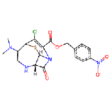 CN(C)C1CN[C@H]2C(=O)N3C(C(=O)OCc4ccc([N+](=O)[O-])cc4)=C(Cl)C1S[C@@H]23